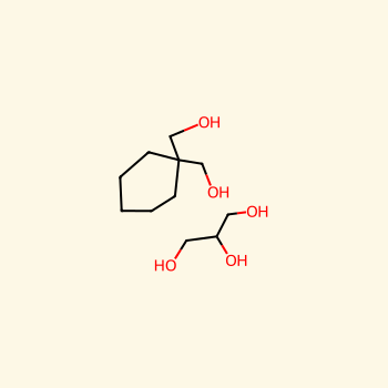 OCC(O)CO.OCC1(CO)CCCCC1